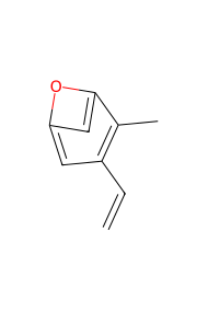 C=Cc1cc2cc(c1C)O2